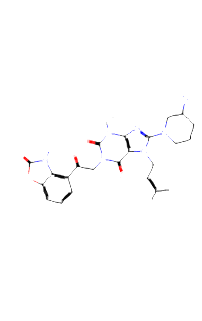 CC(C)=CCn1c(N2CCCC(N)C2)nc2c1c(=O)n(CC(=O)c1cccc3oc(=O)n(C)c13)c(=O)n2C